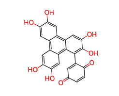 O=C1C=CC(=O)C(c2c(O)c(O)cc3c4cc(O)c(O)cc4c4cc(O)c(O)cc4c23)=C1